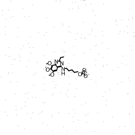 CCc1nc(NCCCCCO[N+](=O)[O-])c2cc(OC)c(OC)c(OC)c2n1